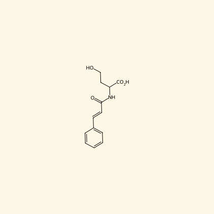 O=C(C=Cc1ccccc1)NC(CCO)C(=O)O